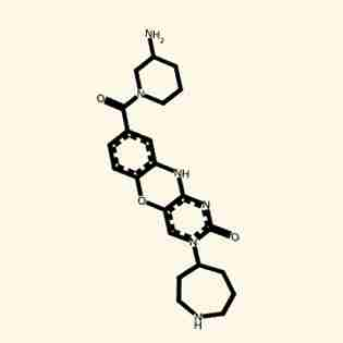 NC1CCCN(C(=O)c2ccc3c(c2)Nc2nc(=O)n(C4CCCNCC4)cc2O3)C1